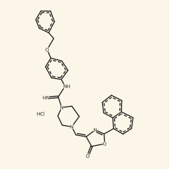 Cl.N=C(Nc1ccc(OCc2ccccc2)cc1)N1CCN(C=C2N=C(c3cccc4ccccc34)OC2=O)CC1